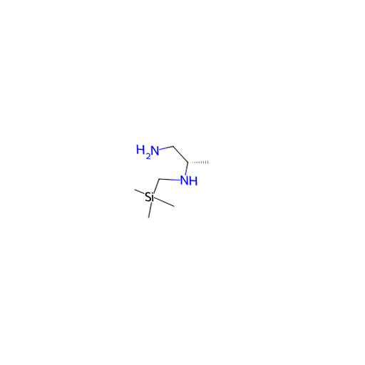 C[C@@H](CN)NC[Si](C)(C)C